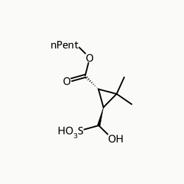 CCCCCOC(=O)[C@H]1[C@H](C(O)S(=O)(=O)O)C1(C)C